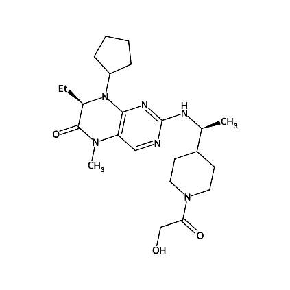 CC[C@@H]1C(=O)N(C)c2cnc(N[C@@H](C)C3CCN(C(=O)CO)CC3)nc2N1C1CCCC1